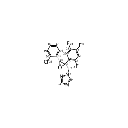 Fc1cc(F)c([C@@]2(Cn3cncn3)O[C@@H]2c2ccccc2Cl)cc1F